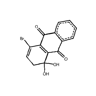 O=C1C2=C(C(=O)c3ccccc31)C(O)(O)CC=C2Br